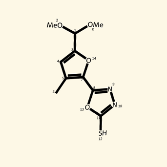 COC(OC)c1cc(C)c(-c2nnc(S)o2)o1